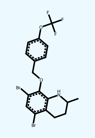 CC1CCc2c(Br)cc(Br)c(OCc3ccc(OC(F)(F)F)cc3)c2N1